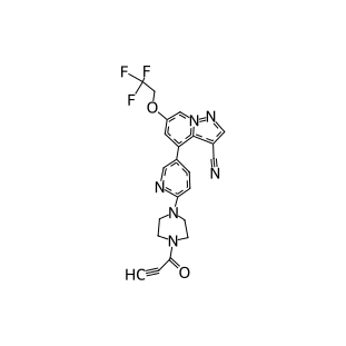 C#CC(=O)N1CCN(c2ccc(-c3cc(OCC(F)(F)F)cn4ncc(C#N)c34)cn2)CC1